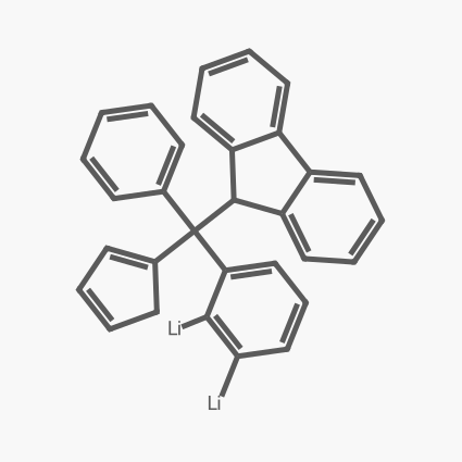 [Li][c]1cccc(C(C2=CC=CC2)(c2ccccc2)C2c3ccccc3-c3ccccc32)[c]1[Li]